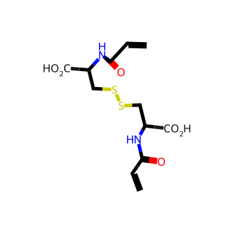 C=CC(=O)NC(CSSCC(NC(=O)C=C)C(=O)O)C(=O)O